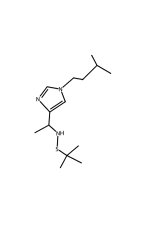 CC(C)CCn1cnc(C(C)NSC(C)(C)C)c1